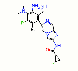 CCc1c(F)c(N(C)C)c(N)c(C=N)c1-c1cn2cc(NC(=O)[C@@H]3C[C@@H]3F)nc2cn1